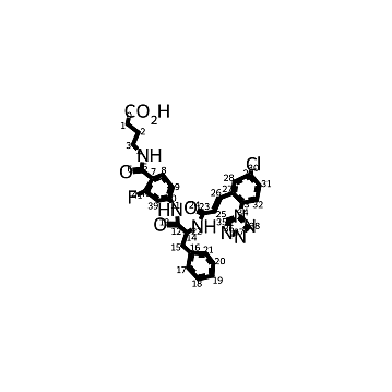 O=C(O)CCCNC(=O)c1ccc(NC(=O)C(Cc2ccccc2)NC(=O)C=Cc2cc(Cl)ccc2-n2cnnn2)cc1F